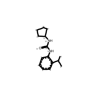 CC(C)c1ccccc1NC(=O)NC1CCCC1